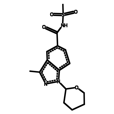 Cc1nn(C2CCCCO2)c2ccc(C(=O)NS(C)(=O)=O)cc12